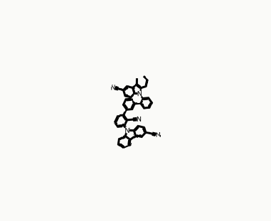 C/C=C\c1c(C)c2cc(C#N)ccc2n1-c1ccccc1-c1cccc(-c2cccc(-n3c4ccccc4c4cc(C#N)ccc43)c2C#N)c1